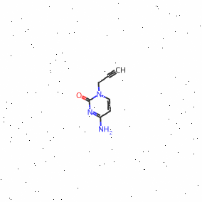 C#CCn1ccc(N)nc1=O